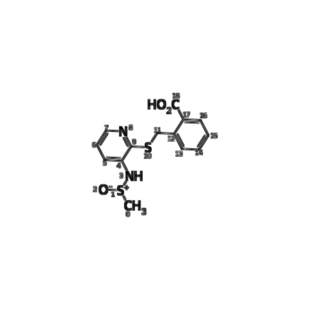 C[S+]([O-])Nc1cccnc1SCc1ccccc1C(=O)O